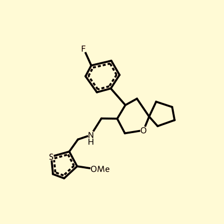 COc1ccsc1CNCC1COC2(CCCC2)CC1c1ccc(F)cc1